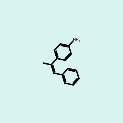 CC(=Cc1ccccc1)c1ccc(N)cc1